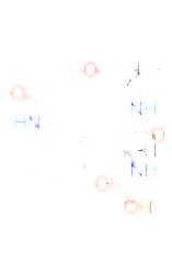 CC(C)[C@H]1COCCC(=O)Nc2ccc(cc2)C[C@@H](NC(=O)O)C(=O)N1